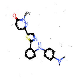 CC(C)n1nc(-c2cnc(-c3ccccc3Nc3ccc(N(C)C)cc3)s2)ccc1=O